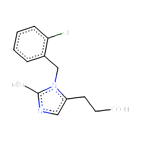 CCCCc1ncc(CCC(=O)O)n1Cc1ccccc1Cl